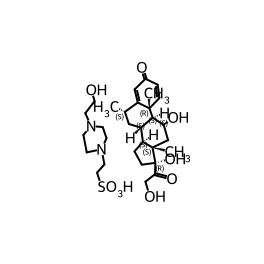 C[C@H]1C[C@@H]2[C@H]([C@@H](O)C[C@@]3(C)[C@H]2CC[C@]3(O)C(=O)CO)[C@@]2(C)C=CC(=O)C=C12.O=S(=O)(O)CCN1CCN(CCO)CC1